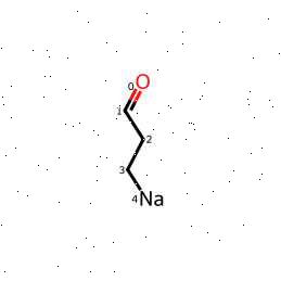 O=CC[CH2][Na]